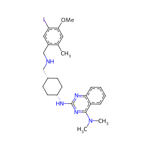 COc1cc(C)c(CNC[C@H]2CC[C@@H](Nc3nc(N(C)C)c4ccccc4n3)CC2)cc1I